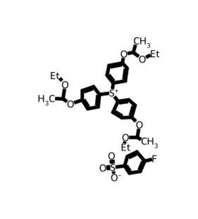 CCOC(C)Oc1ccc([S+](c2ccc(OC(C)OCC)cc2)c2ccc(OC(C)OCC)cc2)cc1.O=S(=O)([O-])c1ccc(F)cc1